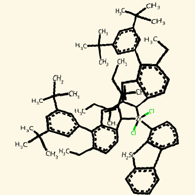 CCc1ccc2c(c1-c1cc(C(C)(C)C)cc(C(C)(C)C)c1)C=C(C(C)CC)[CH]2[Zr]([Cl])([Cl])([c]1cccc2c1[SiH2]c1ccccc1-2)[CH]1C(C(C)CC)=Cc2c1ccc(CC)c2-c1cc(C(C)(C)C)cc(C(C)(C)C)c1